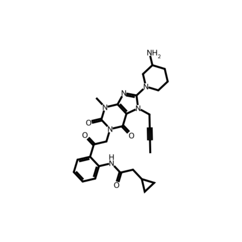 CC#CCn1c(N2CCCC(N)C2)nc2c1c(=O)n(CC(=O)c1ccccc1NC(=O)CC1CC1)c(=O)n2C